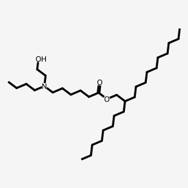 CCCCCCCCCCC(CCCCCCCC)COC(=O)CCCCCN(CCO)CCCC